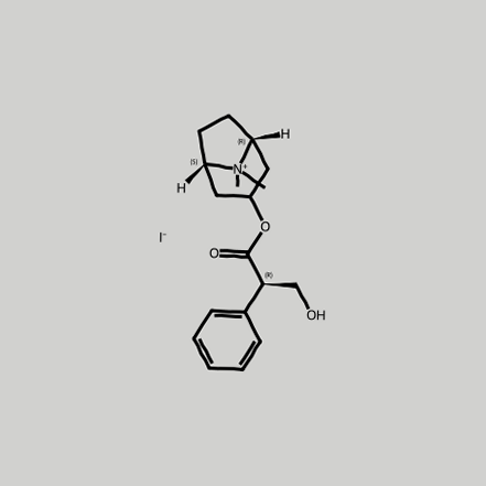 C[N+]1(C)[C@@H]2CC[C@H]1CC(OC(=O)[C@@H](CO)c1ccccc1)C2.[I-]